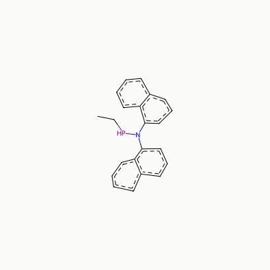 CCPN(c1cccc2ccccc12)c1cccc2ccccc12